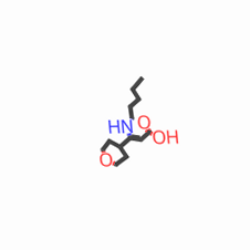 CCCCCNC(=CC(=O)O)C1CCOCC1